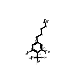 Fc1cc(CCCCBr)cc(F)c1C(F)(F)F